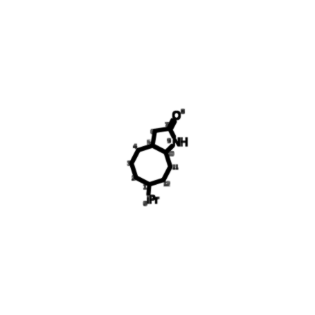 CC(C)C1CCCC2CC(=O)NC2CC1